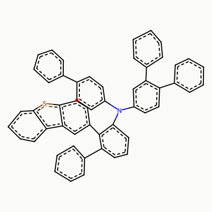 c1ccc(-c2ccc(N(c3ccc(-c4ccccc4)c(-c4ccccc4)c3)c3cccc(-c4ccccc4)c3-c3ccc4sc5ccccc5c4c3)cc2)cc1